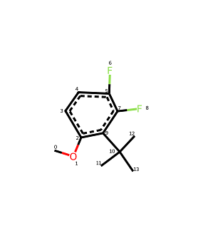 COc1ccc(F)c(F)c1C(C)(C)C